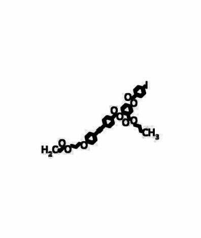 C=CC(=O)OCCCOc1ccc(C#Cc2ccc(C(=O)Oc3ccc(OC(=O)c4ccc(I)cc4)cc3C(=O)OCCCC)cc2)cc1